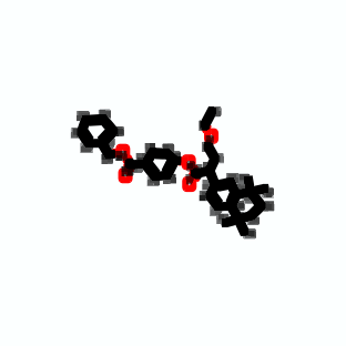 CCOCCC(C(=O)Oc1ccc(C(=O)OCc2ccccc2)cc1)c1ccc2c(c1)C(C)(C)CCC2(C)C